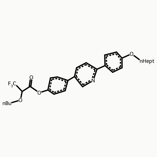 CCCCCCCOc1ccc(-c2ccc(-c3ccc(OC(=O)C(OCCCC)C(F)(F)F)cc3)cn2)cc1